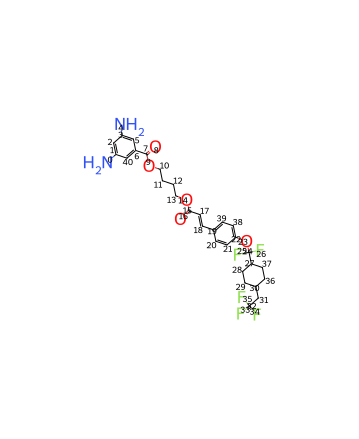 Nc1cc(N)cc(C(=O)OCCCCOC(=O)C=Cc2ccc(OC(F)(F)C3CCC(CC(F)(F)F)CC3)cc2)c1